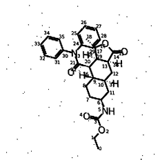 CCOC(=O)N[C@H]1CC[C@H]2[C@H](C1)C[C@@H]1C(=O)O[C@@H](C)[C@@H]1[C@@H]2C(=O)N(c1ccccc1)c1ccccc1